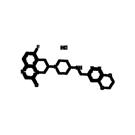 Cl.O=c1cnc2ccc(F)c3c2n1CC(N1CCC(NCc2cc4c(nn2)OCCO4)CC1)C3